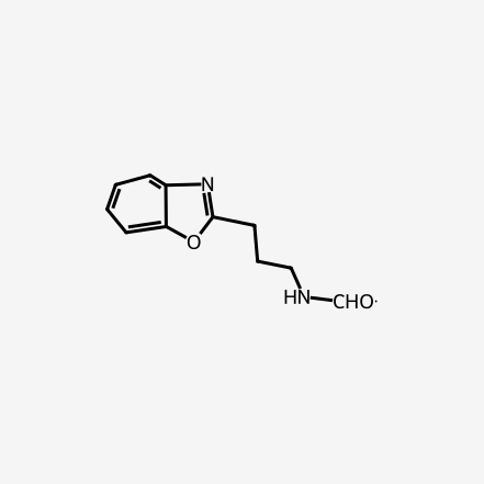 O=[C]NCCCc1nc2ccccc2o1